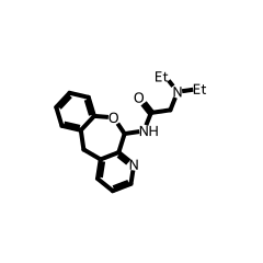 CCN(CC)CC(=O)NC1Oc2ccccc2Cc2cccnc21